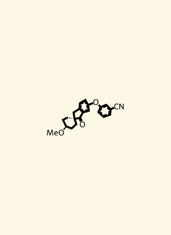 CO[C@H]1CC[C@]2(CC1)Cc1ccc(Oc3cccc(C#N)c3)cc1C2=O